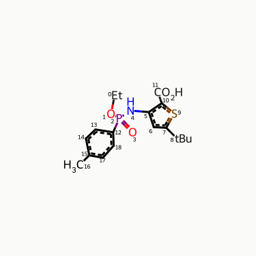 CCOP(=O)(Nc1cc(C(C)(C)C)sc1C(=O)O)c1ccc(C)cc1